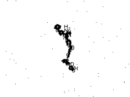 Nc1ncnc2c1c(-c1ccc(Oc3ccccc3)cc1)nn2C1CCN(C(=O)COCCOCCSc2cccc3cn(C4CCC(=O)NC4=O)cc23)CC1